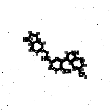 N#Cc1cnc(NCc2cnc3[nH]ccc3c2)nc1-c1c[nH]c2ncc(C(F)(F)F)cc12